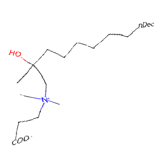 CCCCCCCCCCCCCCCCC(C)(O)C[N+](C)(C)CCC(=O)[O-]